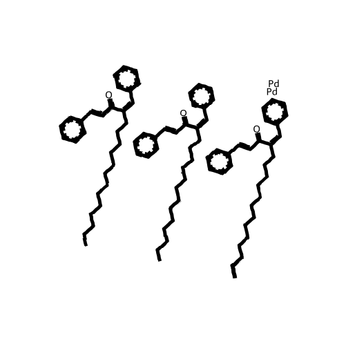 CCCCCCCCCCCCCC(=Cc1ccccc1)C(=O)C=Cc1ccccc1.CCCCCCCCCCCCCC(=Cc1ccccc1)C(=O)C=Cc1ccccc1.CCCCCCCCCCCCCC(=Cc1ccccc1)C(=O)C=Cc1ccccc1.[Pd].[Pd]